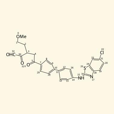 COCCC(CC(=O)c1ccc(-c2ccc(Nc3nc4ccc(Cl)cc4s3)cc2)cc1)C(=O)C=O